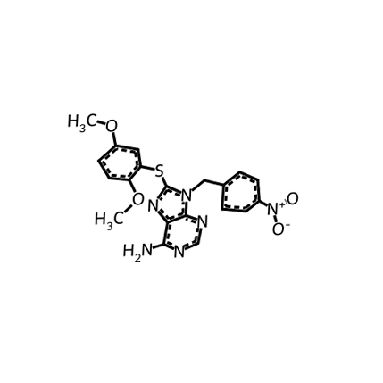 COc1ccc(OC)c(Sc2nc3c(N)ncnc3n2Cc2ccc([N+](=O)[O-])cc2)c1